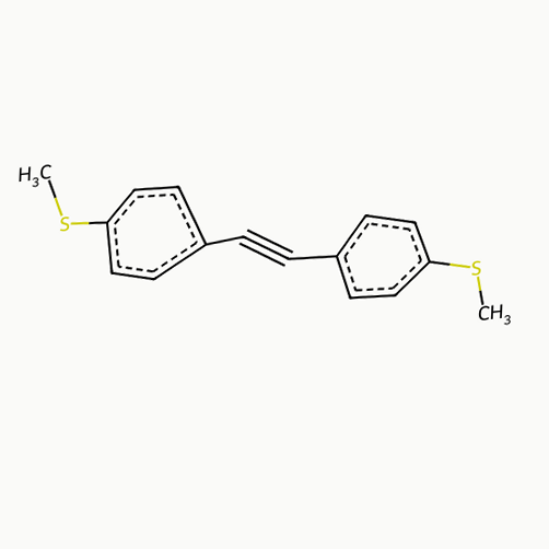 CSc1ccc(C#Cc2ccc(SC)cc2)cc1